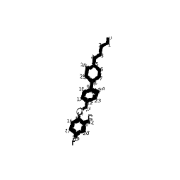 CCCCCC1CCC(c2ccc(COc3ccc(F)cc3F)cc2)CC1